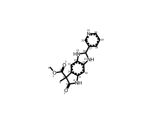 COC(=O)C1(C)C(=O)Nc2cc3c(cc21)NC(c1cccnc1)N3